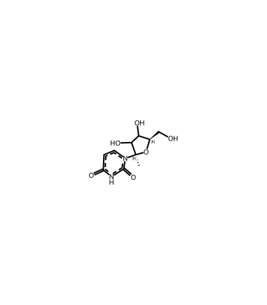 C[C@@]1(n2ccc(=O)[nH]c2=O)O[C@H](CO)C(O)C1O